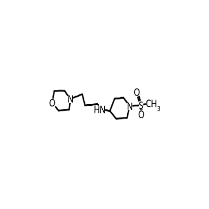 CS(=O)(=O)N1CCC(NCCCN2CCOCC2)CC1